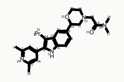 Cc1cc(-c2[nH]c3ccc(C4CN(CC(=O)N(C)C)CCO4)cc3c2C(C)C)cc(C)n1